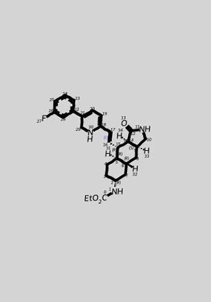 CCOC(=O)N[C@@H]1CC[C@@H]2[C@@H](C1)C[C@@H]1CNC(=O)[C@@H]1[C@H]2/C=C/C1=CC=C(c2cccc(F)c2)CN1